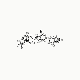 Cn1cc2cc(-c3cc(F)c4nn(C5CCN(C(=O)OC(C)(C)C)C6(CC6)C5)cc4c3)cc(F)c2n1